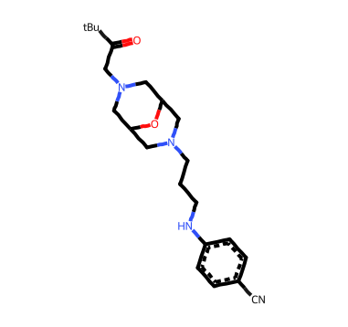 CC(C)(C)C(=O)CN1CC2CN(CCCNc3ccc(C#N)cc3)CC(C1)O2